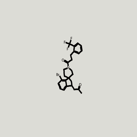 CC(=O)CC1CC2(CCN(C(=O)CCc3ccccc3C(F)(F)F)CC2)c2c(Br)cccc21